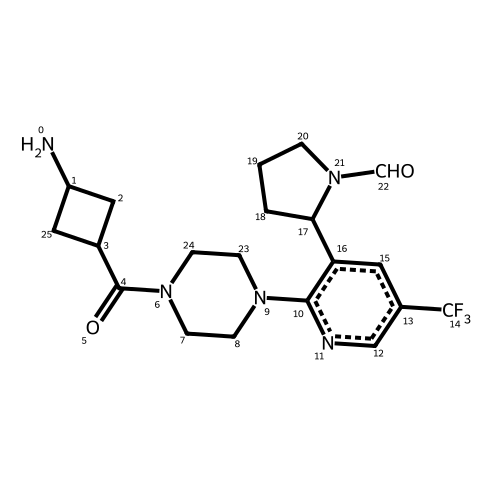 NC1CC(C(=O)N2CCN(c3ncc(C(F)(F)F)cc3C3CCCN3C=O)CC2)C1